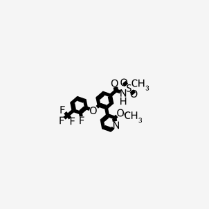 COc1ncccc1-c1cc(C(=O)NS(C)(=O)=O)ccc1Oc1cccc(C(F)(F)F)c1F